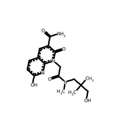 CN(CC(C)(C)CO)C(=O)Cn1c(=O)c(C(N)=O)cc2ccc(O)nc21